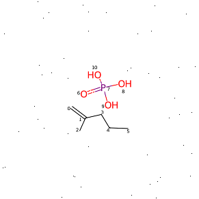 C=C(C)CCC.O=P(O)(O)O